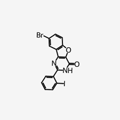 O=c1[nH]c(-c2ccccc2I)nc2c1oc1ccc(Br)cc12